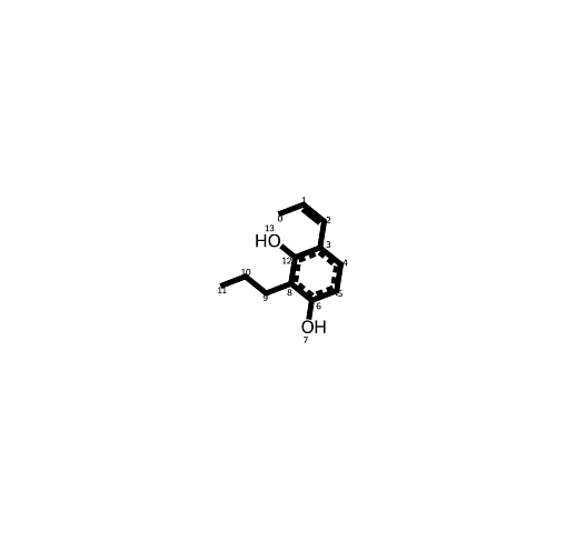 C/C=C\c1c[c]c(O)c(CCC)c1O